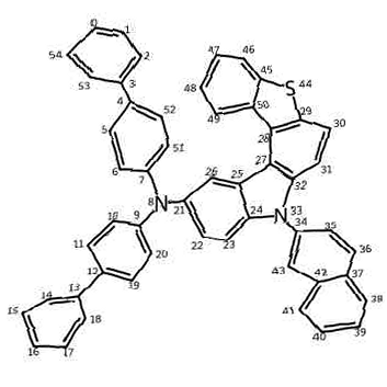 c1ccc(-c2ccc(N(c3ccc(-c4ccccc4)cc3)c3ccc4c(c3)c3c5c(ccc3n4-c3ccc4ccccc4c3)sc3ccccc35)cc2)cc1